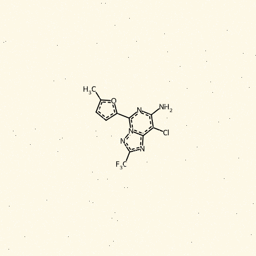 Cc1ccc(-c2nc(N)c(Cl)c3nc(C(F)(F)F)nn23)o1